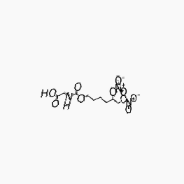 O=C(O)CNC(=O)OCCCCC(CO[N+](=O)[O-])O[N+](=O)[O-]